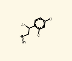 CC(=O)C(CNC(C)C)c1ccc(Cl)cc1Cl